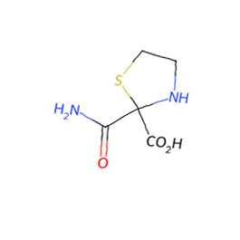 NC(=O)C1(C(=O)O)NCCS1